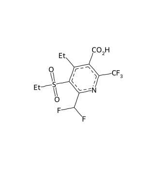 CCc1c(C(=O)O)c(C(F)(F)F)nc(C(F)F)c1S(=O)(=O)CC